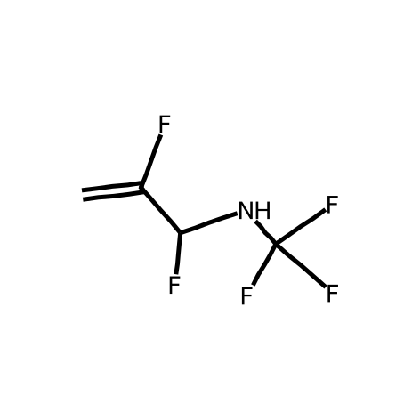 C=C(F)C(F)NC(F)(F)F